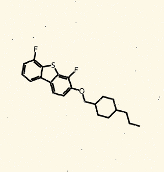 CCCC1CCC(COc2ccc3c(sc4c(F)cccc43)c2F)CC1